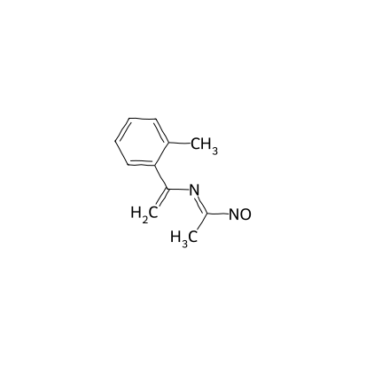 C=C(/N=C(\C)N=O)c1ccccc1C